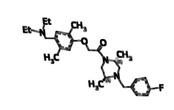 CCN(CC)Cc1cc(C)c(OCC(=O)N2C[C@H](C)N(Cc3ccc(F)cc3)C[C@H]2C)cc1C